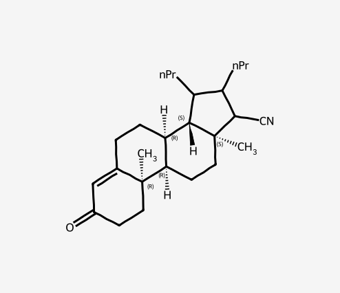 CCCC1C(CCC)[C@H]2[C@@H]3CCC4=CC(=O)CC[C@]4(C)[C@@H]3CC[C@]2(C)C1C#N